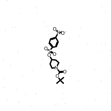 CC(C)(C)OC(=O)N1CCC(OS(=O)(=O)c2ccc([N+](=O)[O-])cc2)CC1